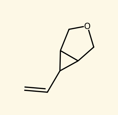 C=CC1C2COCC12